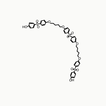 O=S(=O)(c1ccc(O)cc1)c1ccc(OCCCCCOc2ccc(S(=O)(=O)c3ccc(OCCCCCOc4ccc(S(=O)(=O)c5ccc(O)cc5)cc4)cc3)cc2)cc1